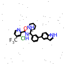 O=C(N[C@@H](c1cccc(-c2ccc3[nH]ccc3c2)c1)[C@@H]1CCCCN1)c1nccc(C(F)(F)F)c1Cl